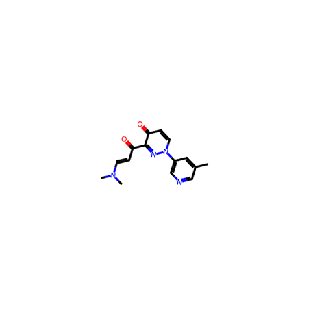 Cc1cncc(-n2ccc(=O)c(C(=O)C=CN(C)C)n2)c1